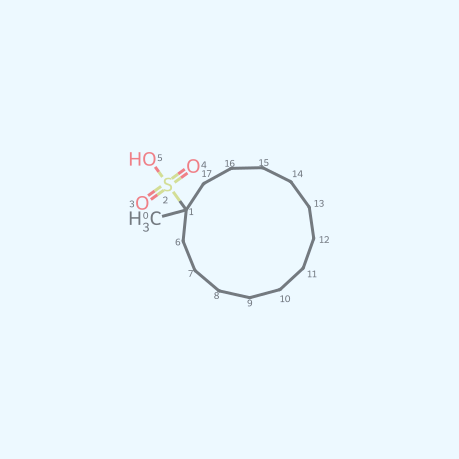 CC1(S(=O)(=O)O)CCCCCCCCCCCC1